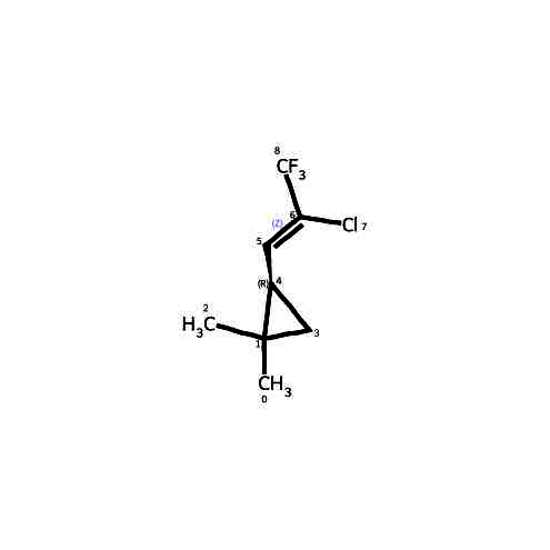 CC1(C)C[C@@H]1/C=C(\Cl)C(F)(F)F